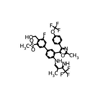 C/C(=C/Nc1ccc(-c2cc(F)c(CO)c(S(C)(=O)=O)c2)cc1-c1oc(C)nc1-c1ccc(OC(F)(F)F)cc1)C(=N)C(F)(F)F